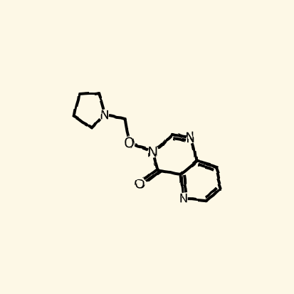 O=c1c2ncccc2ncn1OCN1CCCC1